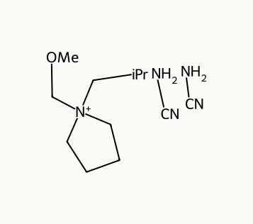 COC[N+]1(CC(C)C)CCCC1.N#CN.N#CN